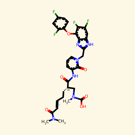 CN(C)C(=O)/C=C/CC[C@@H](CN(C)C(=O)O)C(=O)Nc1cccn(Cc2nc3c(Oc4ccc(F)cc4F)c(F)c(F)cc3[nH]2)c1=O